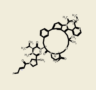 CO[C@@H](C)c1ncccc1-c1c2c3cc(ccc3n1C(C)C)-c1cccc(c1)C[C@H](NC(=O)[C@H](C(C)C)N(C)C(=O)[C@]1([SiH3])CCN(C(=O)/C=C/CF)C1)C(=O)N1CCC[C@@](C(=O)[SiH3])(COCC(C)(C)C2)N1